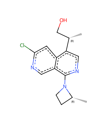 C[C@@H]1CCN1c1ncc([C@@H](C)CO)c2cc(Cl)ncc12